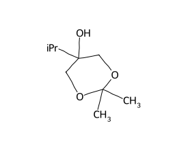 CC(C)C1(O)COC(C)(C)OC1